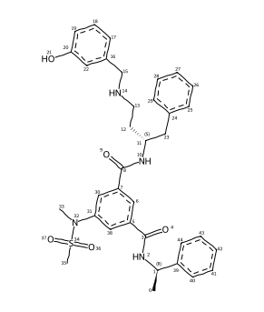 C[C@@H](NC(=O)c1cc(C(=O)N[C@H](CCNCc2cccc(O)c2)Cc2ccccc2)cc(N(C)S(C)(=O)=O)c1)c1ccccc1